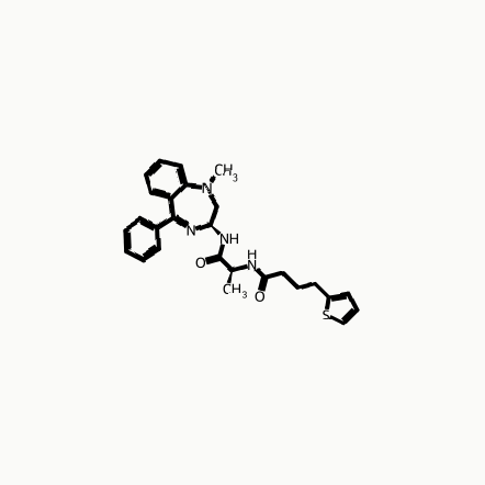 C[C@H](NC(=O)CCCc1cccs1)C(=O)N[C@@H]1CN(C)c2ccccc2C(c2ccccc2)=N1